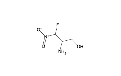 NC(CO)C(F)[N+](=O)[O-]